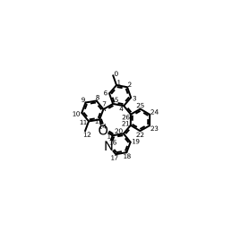 Cc1ccc2c(c1)c1cccc(C)c1oc1ncccc1c1ccccc12